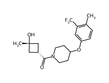 Cc1ccc(OC2CCN(C(=O)[C@H]3C[C@@](C)(O)C3)CC2)cc1C(F)(F)F